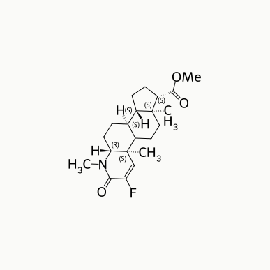 COC(=O)[C@H]1CC[C@H]2[C@@H]3CC[C@H]4N(C)C(=O)C(F)=C[C@]4(C)C3CC[C@]12C